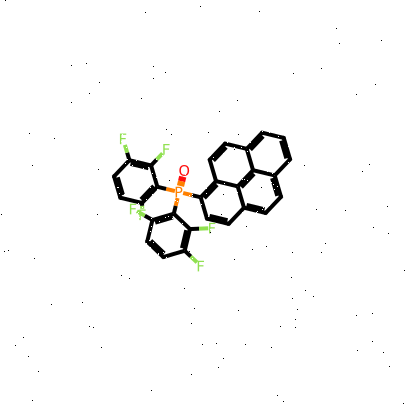 O=P(c1c(F)ccc(F)c1F)(c1c(F)ccc(F)c1F)c1ccc2ccc3cccc4ccc1c2c34